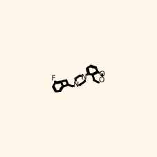 Fc1cccc2c1CC2CN1CCN(c2cccc3c2CCOO3)CC1